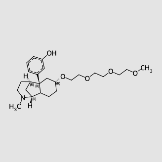 COCCOCCOCCO[C@@H]1CCC2[C@H]3C[C@@H](CCN3C)[C@]2(c2cccc(O)c2)C1